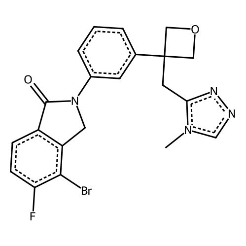 Cn1cnnc1CC1(c2cccc(N3Cc4c(ccc(F)c4Br)C3=O)c2)COC1